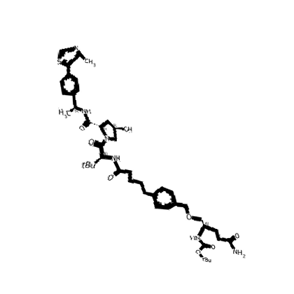 Cc1ncsc1-c1ccc([C@H](C)NC(=O)[C@@H]2C[C@@H](O)CN2C(=O)[C@@H](NC(=O)CCCCc2ccc(COC[C@H](CCC(N)=O)NC(=O)OC(C)(C)C)cc2)C(C)(C)C)cc1